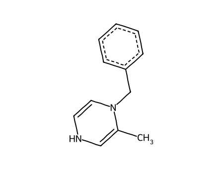 CC1=CNC=CN1Cc1ccccc1